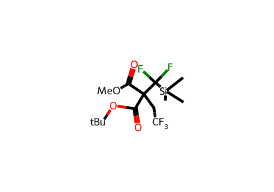 COC(=O)C(CC(F)(F)F)(C(=O)OC(C)(C)C)C(F)(F)[Si](C)(C)C